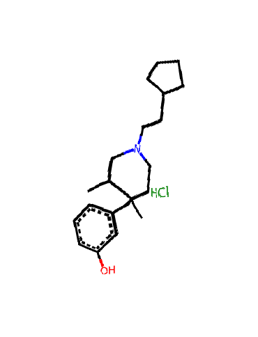 CC1CN(CCC2CCCC2)CCC1(C)c1cccc(O)c1.Cl